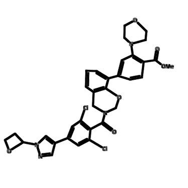 COC(=O)c1ccc(-c2cccc3c2OCN(C(=O)c2c(Cl)cc(-c4cnn(C5CCO5)c4)cc2Cl)C3)cc1N1CCOCC1